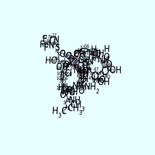 CN[C@@H](CC(C)C)C(=O)N[C@H]1C(=O)N[C@@H](CC(N)=O)C(=O)N[C@H]2C(=O)N[C@H]3C(=O)N[C@H](C(=O)N[C@@H](C(=O)O)c4cc(O)cc(O)c4-c4cc3ccc4O)[C@H](O)c3ccc(c(Cl)c3)Oc3cc2cc(c3OC2OC(CSc3nccc(C(F)(F)F)n3)C(O)C(O)C2OC2CC(C)(N)C(O)C(C)O2)Oc2ccc(cc2Cl)[C@H]1O